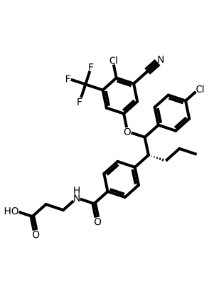 CCC[C@H](c1ccc(C(=O)NCCC(=O)O)cc1)C(Oc1cc(C#N)c(Cl)c(C(F)(F)F)c1)c1ccc(Cl)cc1